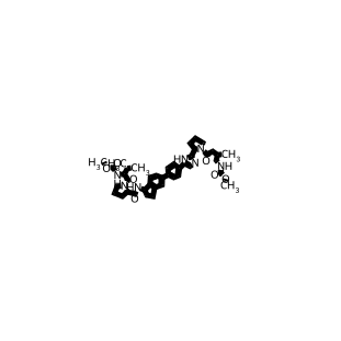 COC(=O)NCC(C)CC(=O)N1CCCC1c1ncc(-c2ccc(-c3ccc4c(c3)CCC4NC(=O)C3CCCN3C(=O)C(NC(=O)OC)C(C)C)cc2)[nH]1